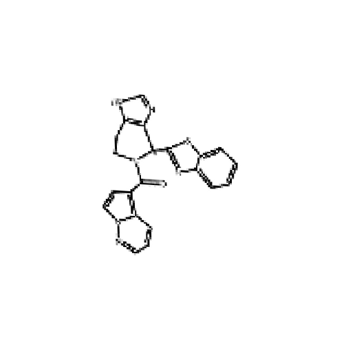 O=C(c1ccn2ncccc12)N1CCc2[nH]cnc2[C@H]1c1nc2ccccc2s1